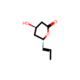 C/C=C/[C@@H]1C[C@@H](O)CC(=O)O1